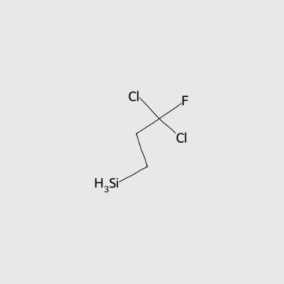 FC(Cl)(Cl)CC[SiH3]